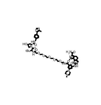 COc1c(Nc2ncc3c(n2)-c2c(c(C(N)=O)nn2C)CC3)cc(N2CCN(C)CC2)cc1C(=O)NCCOCCOCCOCCOCCOCC(=O)NC(C(=O)N1C[C@H](O)C[C@H]1C(=O)NCc1ccc(-c2scnc2C)cc1)C(C)(C)C